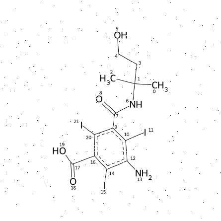 CC(C)(CCO)NC(=O)c1c(I)c(N)c(I)c(C(=O)O)c1I